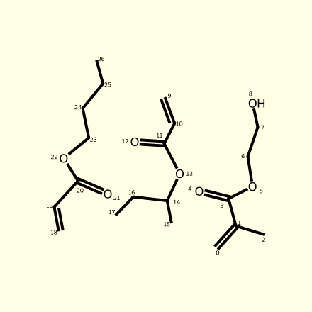 C=C(C)C(=O)OCCO.C=CC(=O)OC(C)CC.C=CC(=O)OCCCC